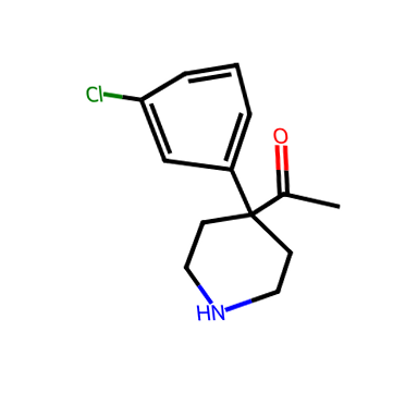 CC(=O)C1(c2cccc(Cl)c2)CCNCC1